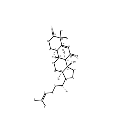 CC(C)=CCC[C@@H](C)[C@H]1CC[C@H]2[C@@H]3C(=O)C=C4C(C)(C)C(=O)CC[C@]4(C)[C@H]3CC[C@]12C